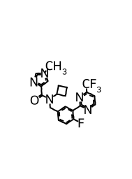 Cn1cnc(C(=O)N(Cc2ccc(F)c(-c3nccc(C(F)(F)F)n3)c2)C2CCC2)c1